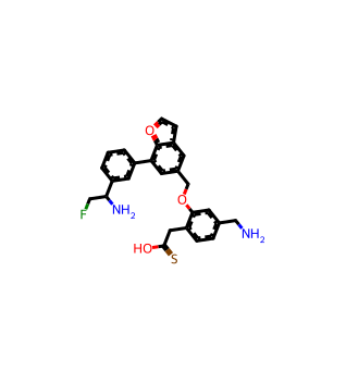 NCc1ccc(CC(O)=S)c(OCc2cc(-c3cccc(C(N)CF)c3)c3occc3c2)c1